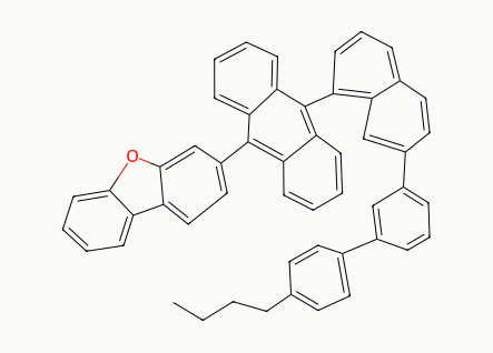 CCCCc1ccc(-c2cccc(-c3ccc4cccc(-c5c6ccccc6c(-c6ccc7c(c6)oc6ccccc67)c6ccccc56)c4c3)c2)cc1